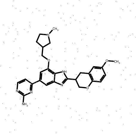 COc1ccc2c(c1)CC(c1nc3cc(-c4ccnc(N)n4)cc(OCC4CCN(C)C4)c3[nH]1)CO2